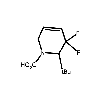 CC(C)(C)C1N(C(=O)O)CC=CC1(F)F